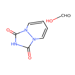 O=CO.O=c1[nH]c(=O)n2ccccn12